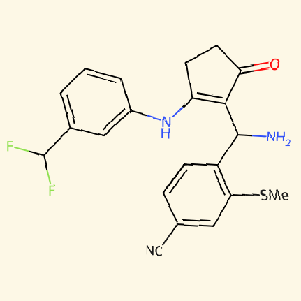 CSc1cc(C#N)ccc1C(N)C1=C(Nc2cccc(C(F)F)c2)CCC1=O